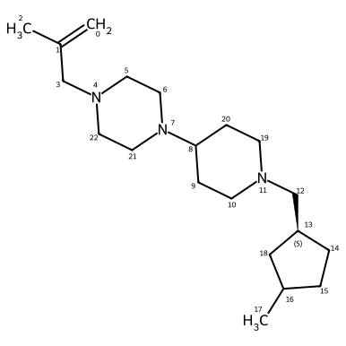 C=C(C)CN1CCN(C2CCN(C[C@H]3CCC(C)C3)CC2)CC1